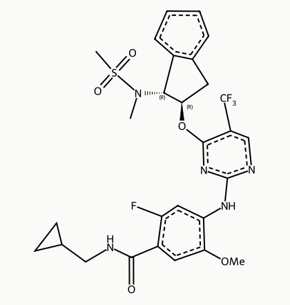 COc1cc(C(=O)NCC2CC2)c(F)cc1Nc1ncc(C(F)(F)F)c(O[C@@H]2Cc3ccccc3[C@H]2N(C)S(C)(=O)=O)n1